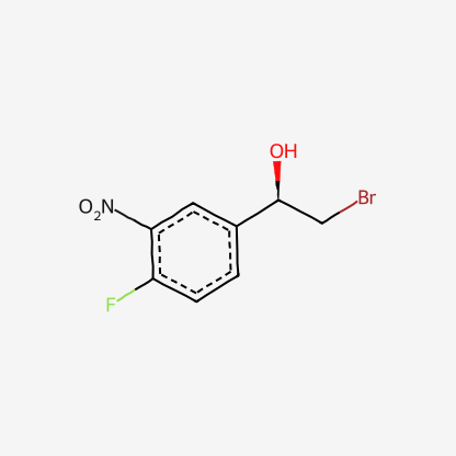 O=[N+]([O-])c1cc([C@@H](O)CBr)ccc1F